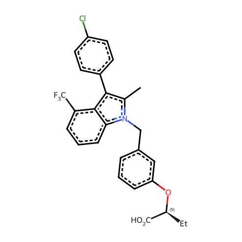 CC[C@H](Oc1cccc(Cn2c(C)c(-c3ccc(Cl)cc3)c3c(C(F)(F)F)cccc32)c1)C(=O)O